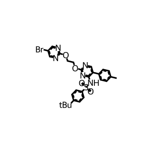 Cc1ccc(-c2cnc(OCCOc3ncc(Br)cn3)nc2NS(=O)(=O)c2ccc(C(C)(C)C)cc2)cc1